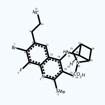 CSc1nc2c(F)c(Br)c(CCC#N)cc2c(N[C@H]2C3CC2N(C(=O)O)C3)c1I